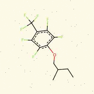 CCC(C)COc1c(F)c(F)c(C(F)(F)F)c(F)c1F